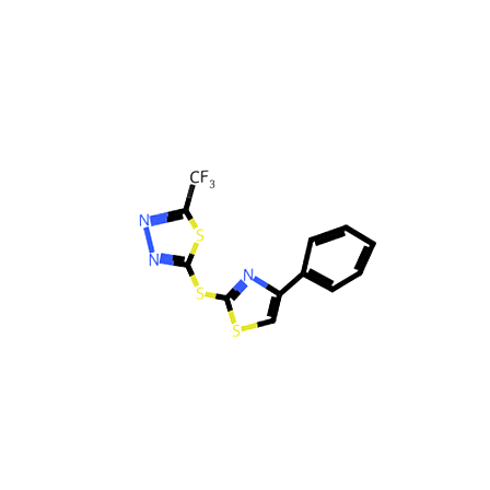 FC(F)(F)c1nnc(Sc2nc(-c3ccccc3)cs2)s1